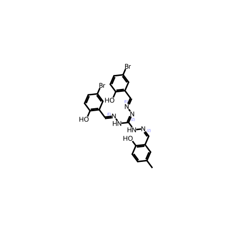 Cc1ccc(O)c(/C=N\N/C(=N/N=C/c2cc(Br)ccc2O)N/N=C/c2cc(Br)ccc2O)c1